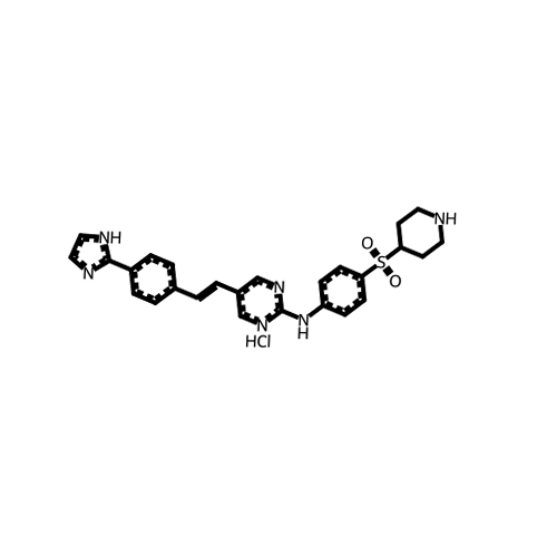 Cl.O=S(=O)(c1ccc(Nc2ncc(/C=C/c3ccc(-c4ncc[nH]4)cc3)cn2)cc1)C1CCNCC1